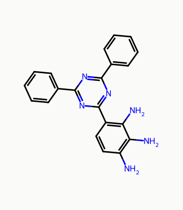 Nc1ccc(-c2nc(-c3ccccc3)nc(-c3ccccc3)n2)c(N)c1N